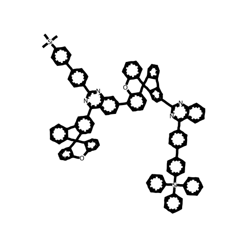 C[Si](C)(C)c1ccc(-c2ccc(-c3nc(-c4ccc5c(c4)-c4ccccc4C54c5ccccc5Oc5ccccc54)c4ccc(-c5cccc6c5Oc5ccccc5C65c6ccccc6-c6cc(-c7nc(-c8ccc(-c9ccc([Si](c%10ccccc%10)(c%10ccccc%10)c%10ccccc%10)cc9)cc8)c8ccccc8n7)ccc65)cc4n3)cc2)cc1